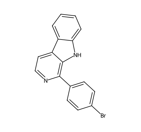 Brc1ccc(-c2nccc3c2[nH]c2ccccc23)cc1